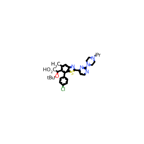 Cc1cc2nc(-c3ccnc(N4CCN(C(C)C)CC4)n3)sc2c(-c2ccc(Cl)cc2)c1C(OC(C)(C)C)C(=O)O